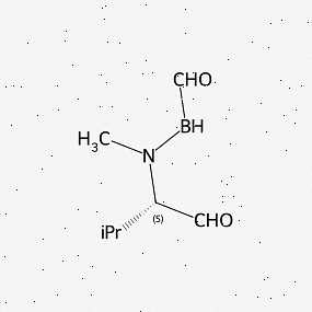 CC(C)[C@@H](C=O)N(C)BC=O